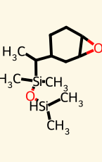 CC(C1CCC2OC2C1)[Si](C)(C)O[SiH](C)C